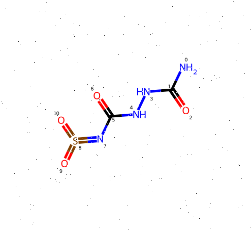 NC(=O)NNC(=O)N=S(=O)=O